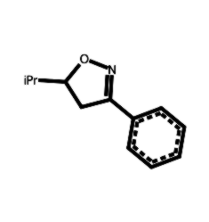 CC(C)C1CC(c2ccccc2)=NO1